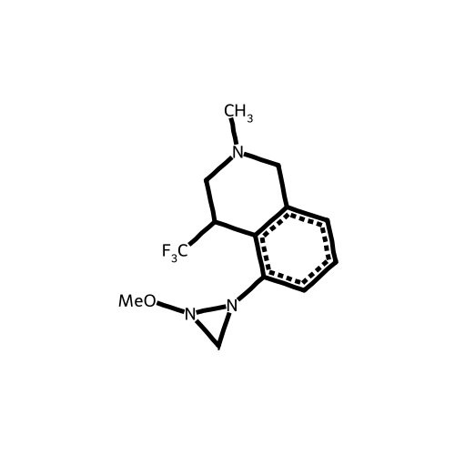 CON1[CH]N1c1cccc2c1C(C(F)(F)F)CN(C)C2